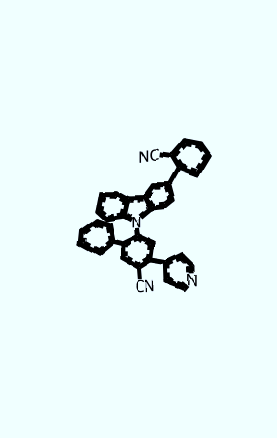 N#Cc1ccccc1-c1ccc2c(c1)c1ccccc1n2-c1cc(-c2ccncc2)c(C#N)cc1-c1ccccc1